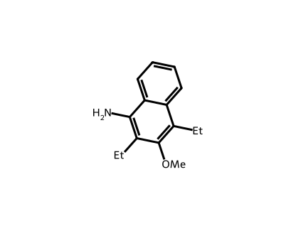 CCc1c(OC)c(CC)c2ccccc2c1N